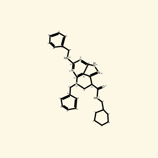 O=C(NCC1CCCCC1)C1CN(Cc2ccccc2)c2nc(NCc3ccccc3)nc3[nH]nc1c23